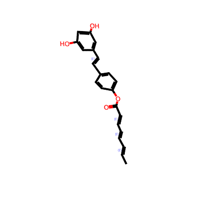 C/C=C/C=C/C=C/C(=O)Oc1ccc(/C=C/c2cc(O)cc(O)c2)cc1